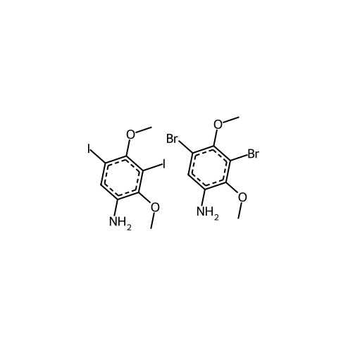 COc1c(N)cc(Br)c(OC)c1Br.COc1c(N)cc(I)c(OC)c1I